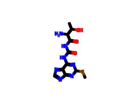 CS[C]1N=C2N=CN=C2C(NC(=O)NC(=O)C(N)C(C)O)=N1